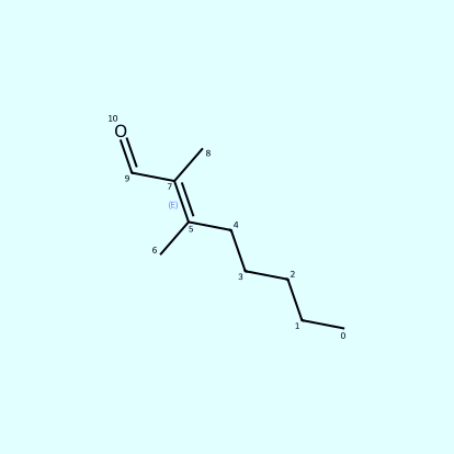 CCCCC/C(C)=C(\C)C=O